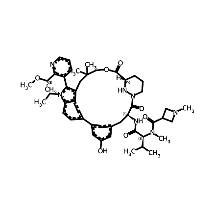 CCn1c(-c2cccnc2[C@H](C)OC)c2c3cc(ccc31)-c1cc(O)cc(c1)C[C@H](NC(=O)[C@H](C(C)C)N(C)C(=O)C1CN(C)C1)C(=O)N1CCC[C@H](N1)C(=O)OCC(C)(C)C2